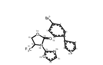 Brc1ccc(-c2ccsc2)cc1.O=C1OCC(C(F)(F)F)N1c1ncco1